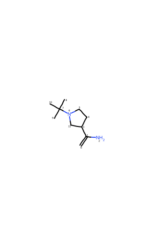 C=C(N)C1CCN(C(C)(C)C)C1